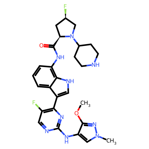 COc1nn(C)cc1Nc1ncc(F)c(-c2c[nH]c3c(NC(=O)[C@H]4C[C@@H](F)CN4C4CCNCC4)cccc23)n1